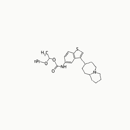 CCCOC(C)OC(=O)Nc1ccc2scc(C3CCC4CCCCN4CC3)c2c1